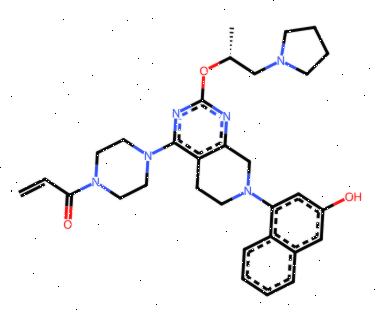 C=CC(=O)N1CCN(c2nc(O[C@H](C)CN3CCCC3)nc3c2CCN(c2cc(O)cc4ccccc24)C3)CC1